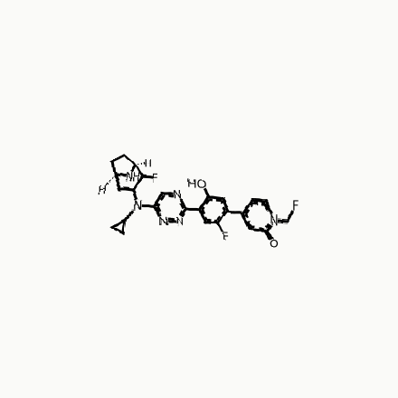 O=c1cc(-c2cc(O)c(-c3ncc(N(C4CC4)C4C[C@H]5CC[C@H](N5)C4F)nn3)cc2F)ccn1CF